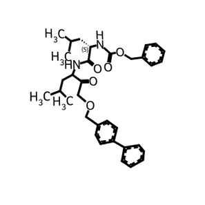 CC(C)CC(NC(=O)[C@H](CC(C)C)NC(=O)OCc1ccccc1)C(=O)COCc1ccc(-c2ccccc2)cc1